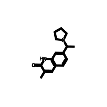 Cc1cc2ccc(C(C)N3CCCC3)cc2[nH]c1=O